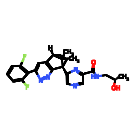 C[C@H](O)CNC(=O)c1cncc([C@@]23CC[C@@H](c4cc(-c5c(F)cccc5F)nnc42)C3(C)C)n1